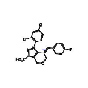 O=C(O)c1nn(-c2ccc(Cl)cc2Cl)c2c1COC/C2=C\c1ccc(F)cc1